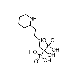 O=P(O)(O)C(O)(CCCCC1CCCCN1)P(=O)(O)O